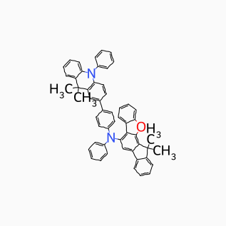 CC1(C)c2ccccc2N(c2ccccc2)c2ccc(-c3ccc(N(c4ccccc4)c4cc5c(c6oc7ccccc7c46)C(C)(C)c4ccccc4-5)cc3)cc21